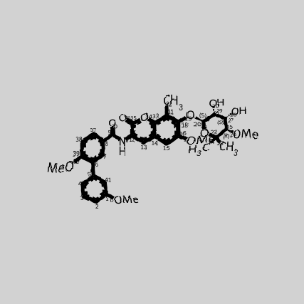 COc1cccc(-c2cc(C(=O)Nc3cc4cc(OC)c(O[C@@H]5OC(C)(C)[C@H](OC)[C@@H](O)[C@H]5O)c(C)c4oc3=O)ccc2OC)c1